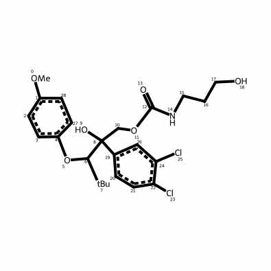 COc1ccc(OC(C(C)(C)C)C(O)(COC(=O)NCCCO)c2ccc(Cl)c(Cl)c2)cc1